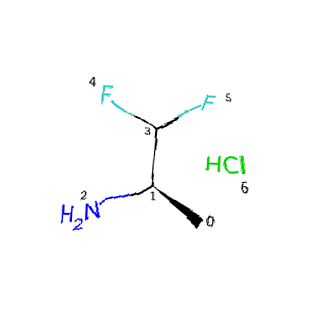 C[C@@H](N)C(F)F.Cl